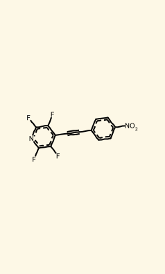 O=[N+]([O-])c1ccc(C#Cc2c(F)c(F)nc(F)c2F)cc1